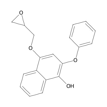 Oc1c(Oc2ccccc2)cc(OCC2CO2)c2ccccc12